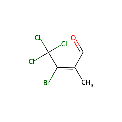 CC(C=O)=C(Br)C(Cl)(Cl)Cl